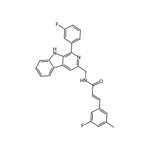 Cc1cc(F)cc(/C=C/C(=O)NCc2cc3c([nH]c4ccccc43)c(-c3cccc(F)c3)n2)c1